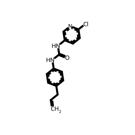 C=CCc1ccc(NC(=O)Nc2ccc(Cl)nc2)cc1